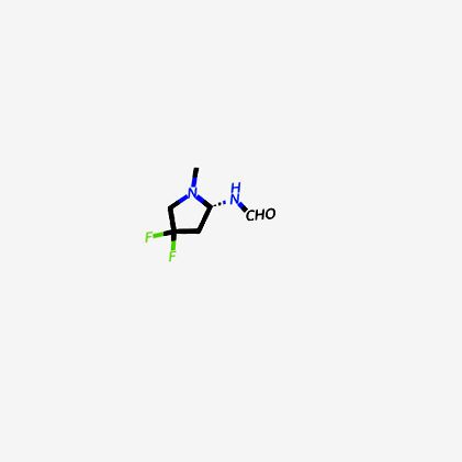 CN1CC(F)(F)C[C@H]1NC=O